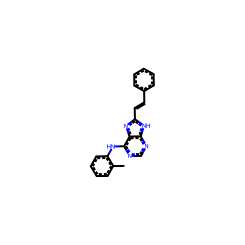 Cc1ccccc1Nc1ncnc2[nH]c(C=Cc3ccccc3)nc12